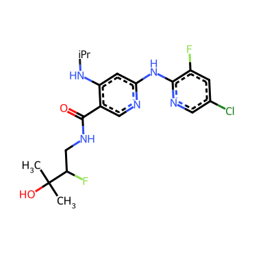 CC(C)Nc1cc(Nc2ncc(Cl)cc2F)ncc1C(=O)NCC(F)C(C)(C)O